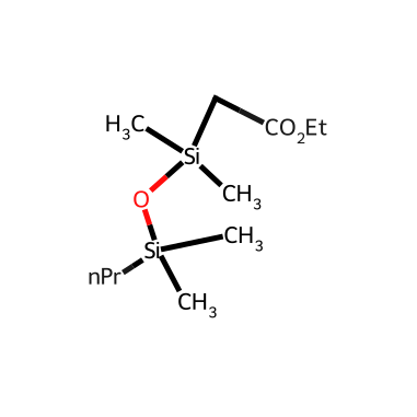 CCC[Si](C)(C)O[Si](C)(C)CC(=O)OCC